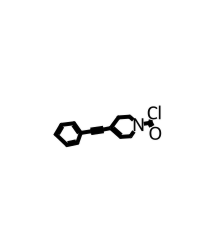 O=C(Cl)N1CC=C(C#Cc2ccccc2)CC1